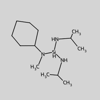 CC(C)N[SiH](NC(C)C)N(C)C1CCCCC1